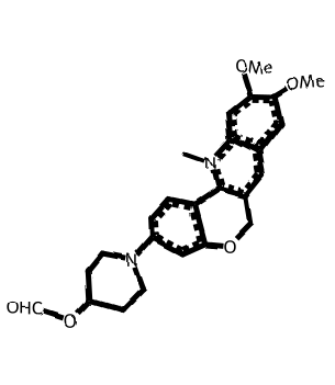 COc1cc2cc3c([n+](C)c2cc1OC)-c1ccc(N2CCC(OC=O)CC2)cc1OC3